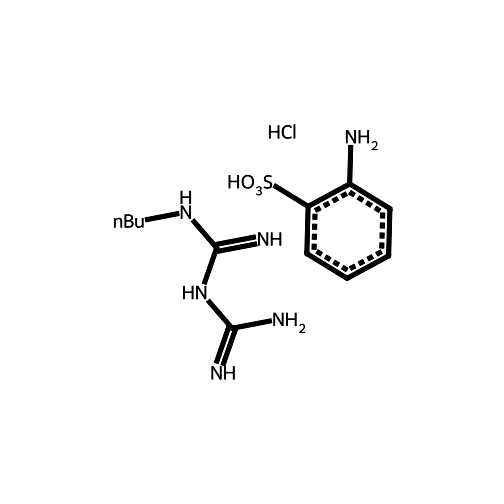 CCCCNC(=N)NC(=N)N.Cl.Nc1ccccc1S(=O)(=O)O